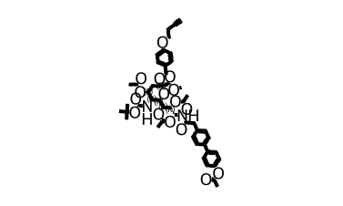 C#CCCOc1ccc(CO[C@]2(C(=O)OC)C[C@H](OC(C)=O)[C@@H](NC(=O)OC(C)(C)C)[C@H]([C@H](OC(C)=O)[C@@H](CNC(=O)Cc3ccc(-c4ccc(OC(C)=O)cc4)cc3)OC(C)=O)O2)cc1